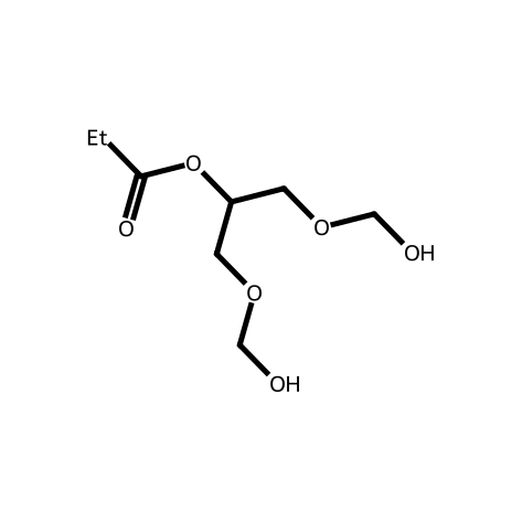 CCC(=O)OC(COCO)COCO